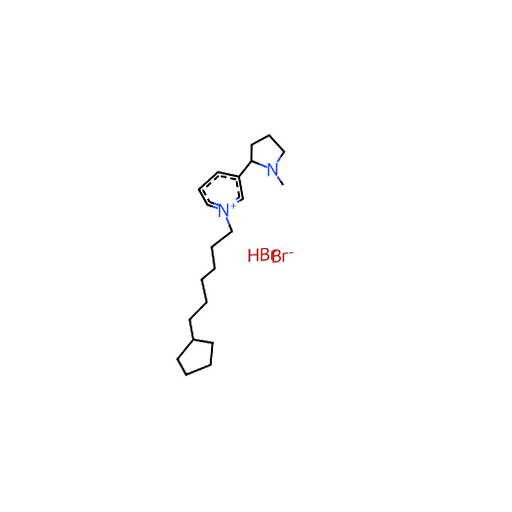 Br.CN1CCCC1c1ccc[n+](CCCCCCC2CCCC2)c1.[Br-]